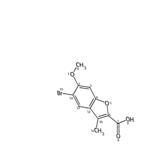 COc1cc2oc(C(=O)O)c(C)c2cc1Br